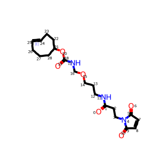 O=C(CCN1C(=O)C=CC1=O)NCCCOCNC(=O)OC1CC/C=C/CCC1